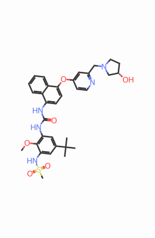 COc1c(NC(=O)Nc2ccc(Oc3ccnc(CN4CC[C@@H](O)C4)c3)c3ccccc23)cc(C(C)(C)C)cc1NS(C)(=O)=O